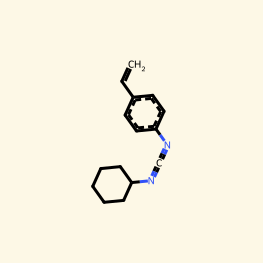 C=Cc1ccc(N=C=NC2CCCCC2)cc1